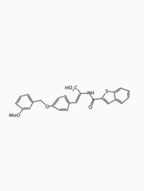 COc1cccc(COc2ccc(C=C(NC(=O)c3cc4ccccc4s3)C(=O)O)cc2)c1